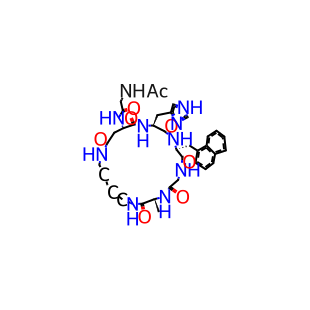 CC(=O)NCC(=O)N[C@H]1CC(=O)NCCCCCNC(=O)[C@H](C)NC(=O)CNC(=O)[C@@H](Cc2cccc3ccccc23)NC(=O)[C@H](Cc2c[nH]cn2)NC1=O